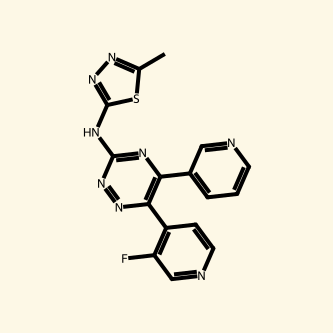 Cc1nnc(Nc2nnc(-c3ccncc3F)c(-c3cccnc3)n2)s1